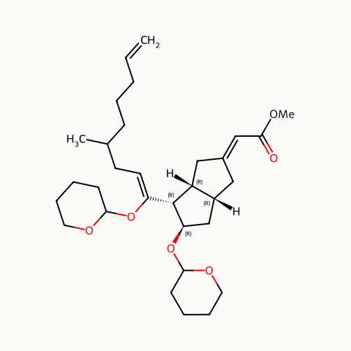 C=CCCCC(C)CC=C(OC1CCCCO1)[C@@H]1[C@@H]2CC(=CC(=O)OC)C[C@@H]2C[C@H]1OC1CCCCO1